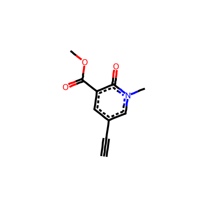 C#Cc1cc(C(=O)OC)c(=O)n(C)c1